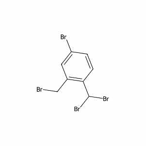 BrCc1cc(Br)ccc1C(Br)Br